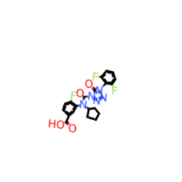 O=C(O)c1ccc(F)c(N(C(=O)n2nnn(-c3c(F)cccc3F)c2=O)C2CCCC2)c1